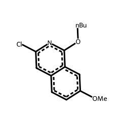 CCCCOc1nc(Cl)cc2ccc(OC)cc12